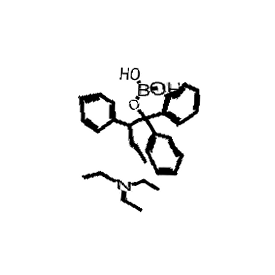 CCC(c1ccccc1)C(OB(O)O)(c1ccccc1)c1ccccc1.CCN(CC)CC